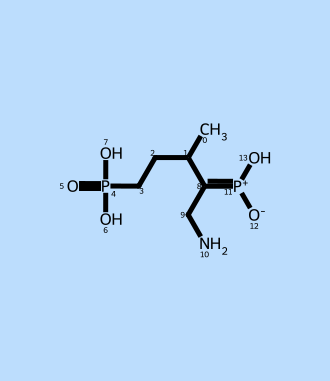 CC(CCP(=O)(O)O)C(CN)=[P+]([O-])O